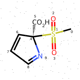 CS(=O)(=O)[C@]1(C(=O)O)C=CC=N1